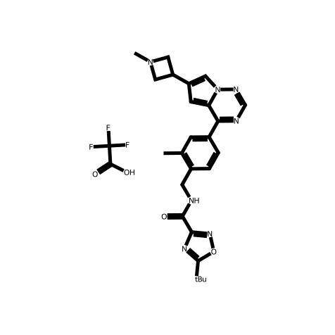 Cc1cc(-c2ncnn3cc(C4CN(C)C4)cc23)ccc1CNC(=O)c1noc(C(C)(C)C)n1.O=C(O)C(F)(F)F